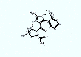 Cc1nc(C(=O)N2[C@H](C(N)=O)C[C@@H]3C[C@@H]32)c(-c2ccccc2C(F)(F)F)s1